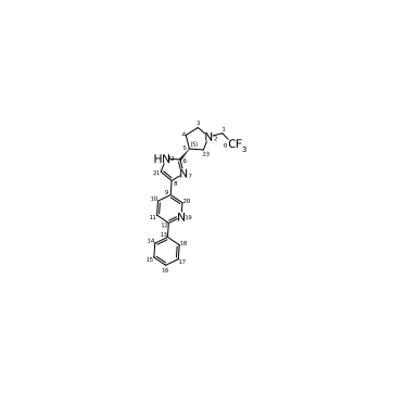 FC(F)(F)CN1CC[C@H](c2nc(-c3ccc(-c4ccccc4)nc3)c[nH]2)C1